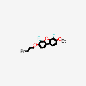 CCOc1ccc2c(oc3c(F)c(OCCCC(C)C)ccc32)c1F